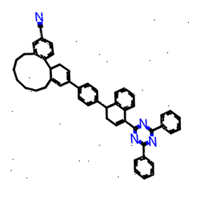 N#Cc1ccc2c(c1)CCCCCCCC1=CC(c3ccc(C4CC=C(c5nc(-c6ccccc6)nc(-c6ccccc6)n5)c5ccccc54)cc3)=CCC12